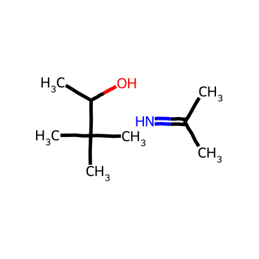 CC(C)=N.CC(O)C(C)(C)C